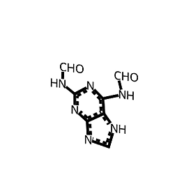 O=CNc1nc(NC=O)c2[nH]cnc2n1